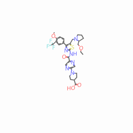 CCOCC1CCCN1Cc1sc(NC(=O)c2cnc(N3CCC(C(=O)O)CC3)cn2)nc1-c1ccc(OC)c(C(F)(F)F)c1